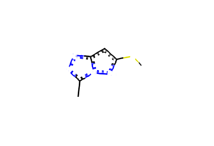 CCSc1cc2nnc(C)n2[nH]1